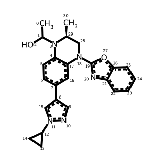 CC(O)N1c2ccc(-c3cnn(C4CC4)c3)cc2N(c2nc3ccccc3o2)C[C@@H]1C